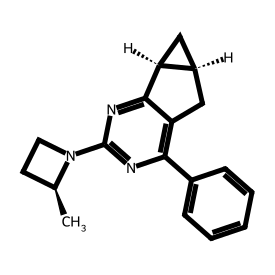 C[C@H]1CCN1c1nc(-c2ccccc2)c2c(n1)[C@H]1C[C@H]1C2